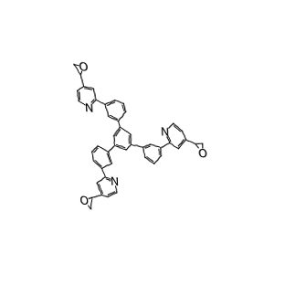 c1cc(-c2cc(-c3cccc(-c4cc(C5CO5)ccn4)c3)cc(-c3cccc(-c4cc(C5CO5)ccn4)c3)c2)cc(-c2cc(C3CO3)ccn2)c1